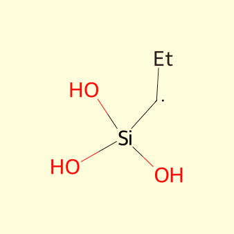 CC[CH][Si](O)(O)O